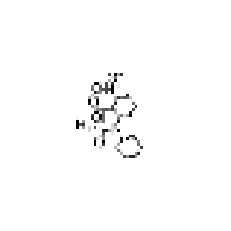 CC(=O)N(c1ccccc1)c1cccc([N+](=O)[O-])c1C(=O)O